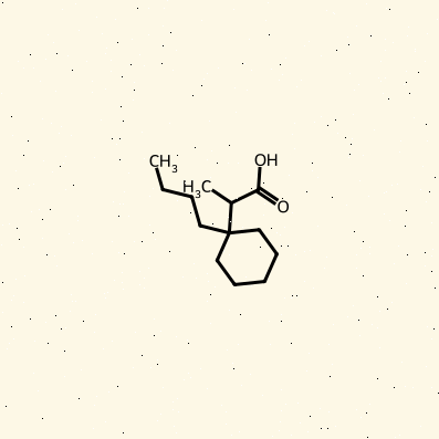 CCCCC1(C(C)C(=O)O)CCCCC1